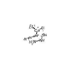 CC(C)(C)NN.C[CH2][Ga]([CH2]C)[N]=[N+]=[N-]